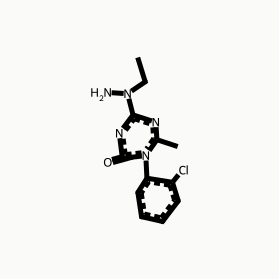 CCN(N)c1nc(C)n(-c2ccccc2Cl)c(=O)n1